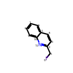 ICc1ccc2ccccc2n1